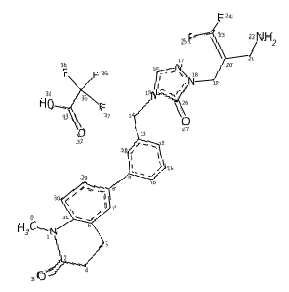 CN1C(=O)CCc2cc(-c3cccc(Cn4cnn(CC(CN)=C(F)F)c4=O)c3)ccc21.O=C(O)C(F)(F)F